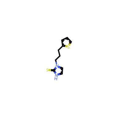 S=c1[nH]ccn1CCCc1cccs1